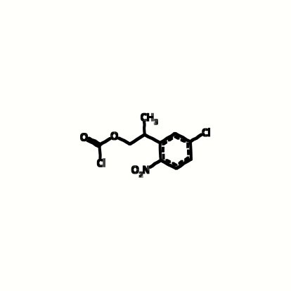 CC(COC(=O)Cl)c1cc(Cl)ccc1[N+](=O)[O-]